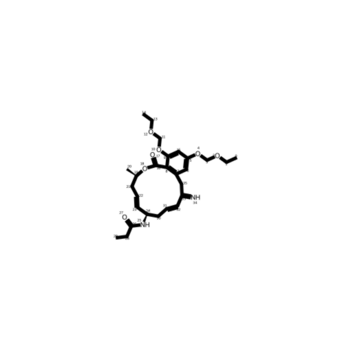 CCOCOc1cc2c(c(OCOCC)c1)C(=O)O[C@H](C)C/C=C/[C@H](NC(=O)CC)C/C=C/C(=N)C2